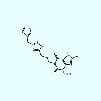 CCCCCn1c(=O)n(CCCc2nc(Cc3ccsc3)no2)c(=O)c2[nH]c(Cl)nc21